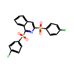 O=S(=O)(c1ccc(F)cc1)c1cc2ccccc2c(S(=O)(=O)c2ccc(F)cc2)n1